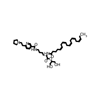 CC/C=C\C/C=C\C/C=C\C/C=C\C/C=C\CCCC(=O)N[C@@H](CCCCNC(=O)c1ccc(CCN2CCCC2)nc1)C(=O)OC(CO)CO